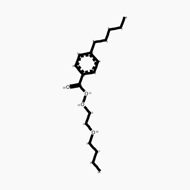 CCCCCc1ccc(C(=O)OO[CH]COCCCC)cc1